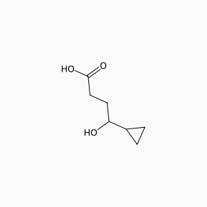 O=C(O)CCC(O)C1CC1